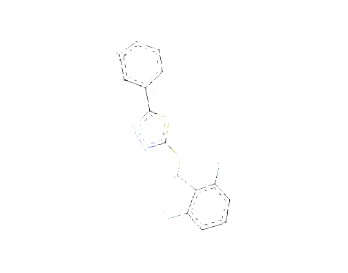 Clc1cccc(Cl)c1CSc1nnc(-c2ccccc2)s1